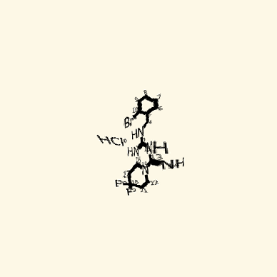 Cl.N=C(NCc1ccccc1Br)NC(=N)N1CCC(F)(F)CC1